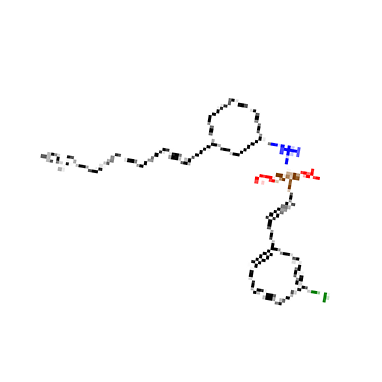 O=C(O)CCCC=CC1CCCC(NS(=O)(=O)C=Cc2cccc(F)c2)C1